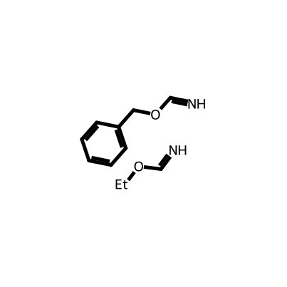 CCOC=N.N=COCc1ccccc1